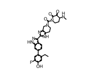 CCc1cc(O)c(F)cc1-c1ccc2c(-c3nc4c([nH]3)CCN(C(=O)N3CCC(NC)C(=O)C3=O)C4)n[nH]c2c1